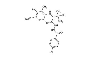 Cc1c(NC(C(=O)NNC(=O)c2ccc(Cl)cc2)C(C)(C)O)ccc(C#N)c1Cl